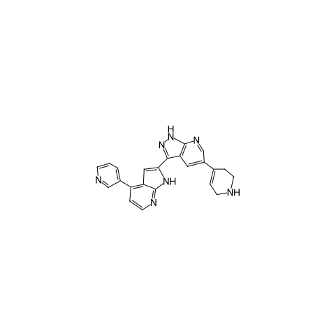 C1=C(c2cnc3[nH]nc(-c4cc5c(-c6cccnc6)ccnc5[nH]4)c3c2)CCNC1